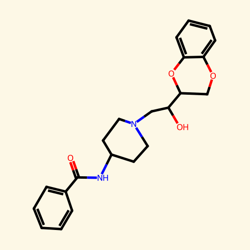 O=C(NC1CCN(CC(O)C2COc3ccccc3O2)CC1)c1ccccc1